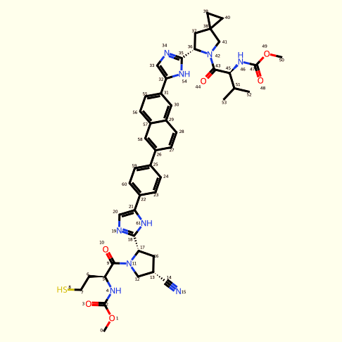 COC(=O)N[C@@H](CCS)C(=O)N1C[C@@H](C#N)C[C@H]1c1ncc(-c2ccc(-c3ccc4cc(-c5cnc([C@@H]6CC7(CC7)CN6C(=O)[C@@H](NC(=O)OC)C(C)C)[nH]5)ccc4c3)cc2)[nH]1